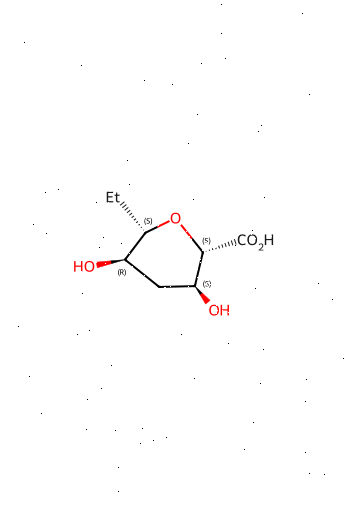 CC[C@@H]1O[C@H](C(=O)O)[C@@H](O)C[C@H]1O